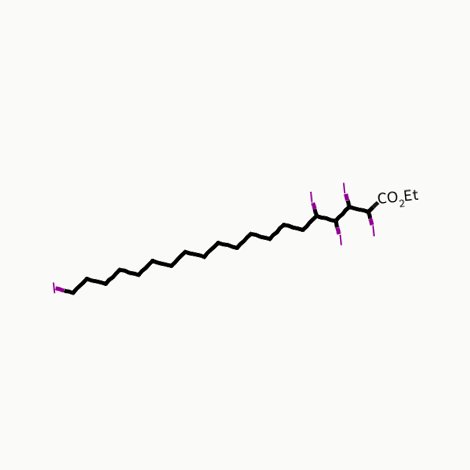 CCOC(=O)C(I)C(I)C(I)C(I)CCCCCCCCCCCCCCCI